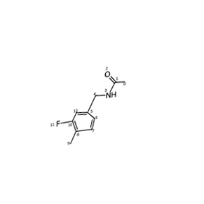 CC(=O)NCc1ccc(C)c(F)c1